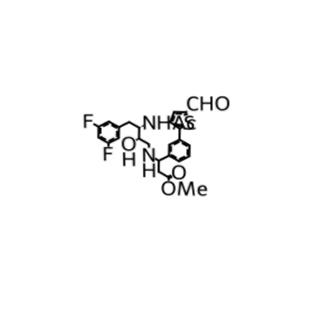 COC(=O)CC(NC[C@@H](O)[C@H](Cc1cc(F)cc(F)c1)NC(C)=O)c1cccc(-c2ccc(C=O)s2)c1